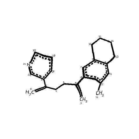 C=C(CCC(=C)c1cc2c(cc1C)CCCC2)c1cccnc1